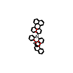 CC1(C)c2ccc3ccccc3c2-c2cccc(N(c3ccc(-c4cccc5cccc(-c6ccccc6)c45)cc3)c3ccccc3-c3ccccc3)c21